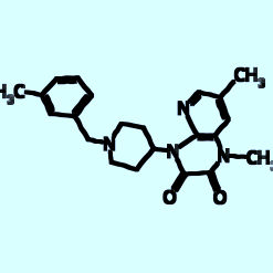 Cc1cccc(CN2CCC(n3c(=O)c(=O)n(C)c4cc(C)cnc43)CC2)c1